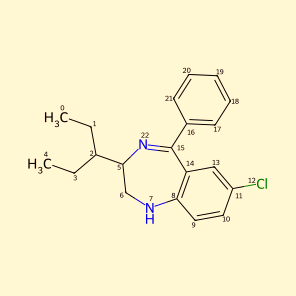 CCC(CC)C1CNc2ccc(Cl)cc2C(c2ccccc2)=N1